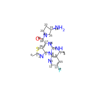 Cc1nc2nc(N[C@@H](C)c3cncc(F)c3)nc(C(=O)N3CC[C@@H](N)C3)c2s1